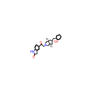 O=C1Cc2cc(C(=O)CN3C[C@@H]4C[C@@](O)(Cc5ccccc5)C[C@@H]4C3)ccc2N1